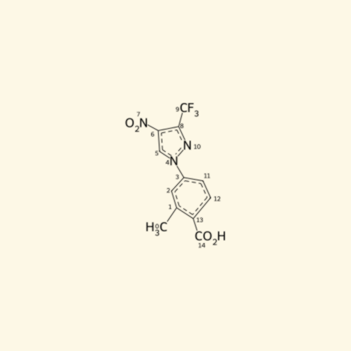 Cc1cc(-n2cc([N+](=O)[O-])c(C(F)(F)F)n2)ccc1C(=O)O